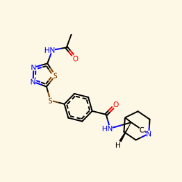 CC(=O)Nc1nnc(Sc2ccc(C(=O)N[C@H]3CN4CCC3CC4)cc2)s1